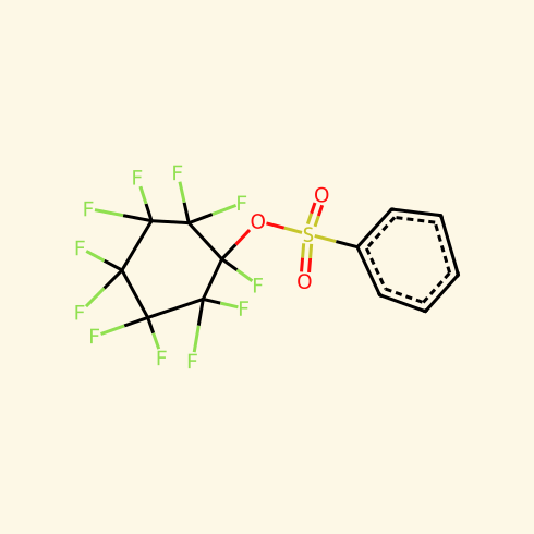 O=S(=O)(OC1(F)C(F)(F)C(F)(F)C(F)(F)C(F)(F)C1(F)F)c1ccccc1